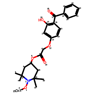 CCCCCCCCON1C(C)(C)CC(OC(=O)COc2ccc(C(=O)c3ccccc3)c(O)c2)CC1(C)C